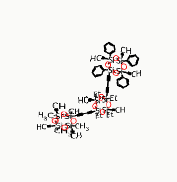 C#C[Si]1(C)O[Si](C)(C#C)O[Si](C)(C#CC#C[Si]2(CC)O[Si](C#C)(CC)O[Si](C#CC#C[Si]3(c4ccccc4)O[Si](C#C)(c4ccccc4)O[Si](C#C)(c4ccccc4)O[Si](C#C)(c4ccccc4)O3)(CC)O[Si](C#C)(CC)O2)O[Si](C)(C#C)O1